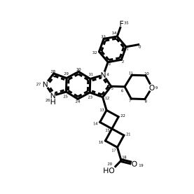 Cc1cc(-n2c(C3CCOCC3)c(C3CC4(CC(C(=O)O)C4)C3)c3cc4[nH]ncc4cc32)ccc1F